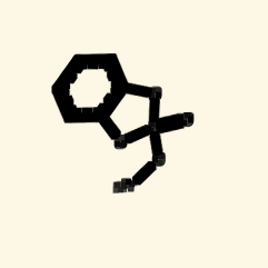 CCCOP1(=O)Oc2ccccc2O1